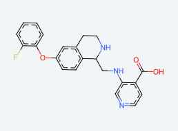 O=C(O)c1ccncc1NCC1NCCc2cc(Oc3ccccc3F)ccc21